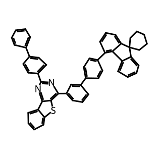 c1ccc(-c2ccc(-c3nc(-c4cccc(-c5ccc(-c6cccc7c6-c6ccccc6C76CCCCC6)cc5)c4)c4sc5ccccc5c4n3)cc2)cc1